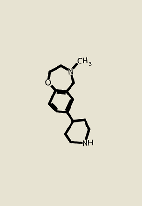 CN1CCOc2ccc(C3CCNCC3)cc2C1